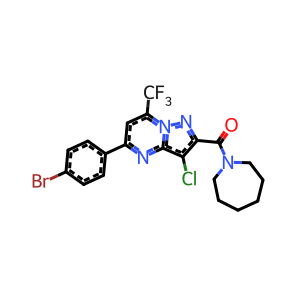 O=C(c1nn2c(C(F)(F)F)cc(-c3ccc(Br)cc3)nc2c1Cl)N1CCCCCC1